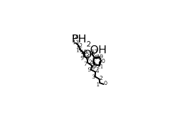 CCCCCCCCCCCCCCP.O=C(O)c1ccccc1